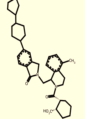 Cc1cccc2c1CCN(C(=O)[C@@H]1CCCC[C@@H]1C(=O)O)C2CN1Cc2cc(C3CCC(C4CCCC4)CC3)ccc2C1=O